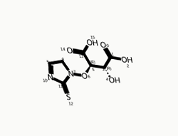 O=C(O)[C@H](O)[C@@H](ON1CC=NC1=S)C(=O)O